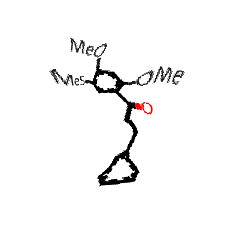 COc1cc(OC)c(C(=O)/C=C/c2ccccc2)cc1SC